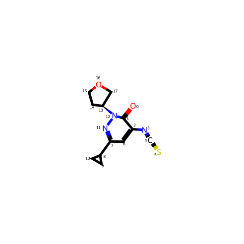 O=c1c(N=C=S)cc(C2CC2)nn1[C@H]1CCOC1